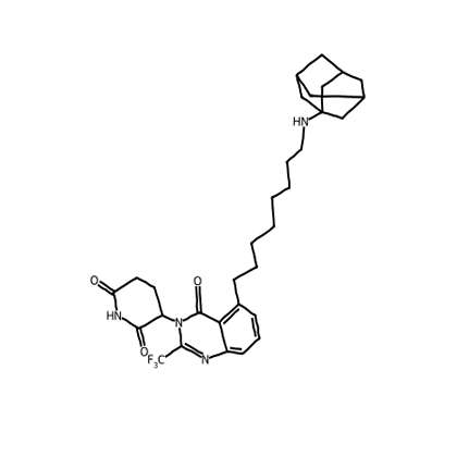 O=C1CCC(n2c(C(F)(F)F)nc3cccc(CCCCCCCCNC45CC6CC(CC(C6)C4)C5)c3c2=O)C(=O)N1